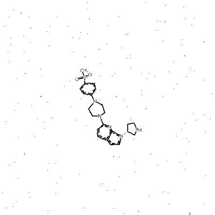 CS(=O)(=O)c1ccc(N2CCN(c3ccc4ccn([C@@H]5CCNC5)c4n3)CC2)cc1